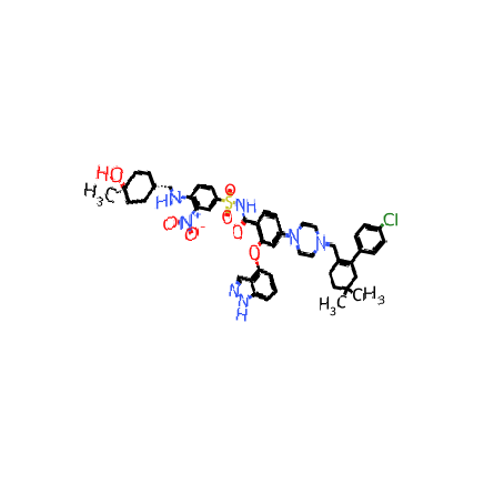 CC1(C)CCC(CN2CCN(c3ccc(C(=O)NS(=O)(=O)c4ccc(NC[C@H]5CC[C@](C)(O)CC5)c([N+](=O)[O-])c4)c(Oc4cccc5[nH]ncc45)c3)CC2)=C(c2ccc(Cl)cc2)C1